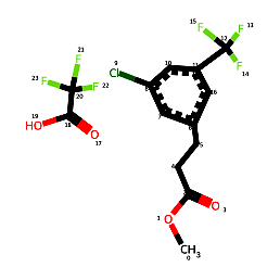 COC(=O)CCc1cc(Cl)cc(C(F)(F)F)c1.O=C(O)C(F)(F)F